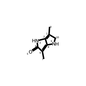 CC1=C2NC(=O)C(C)=C2NC1